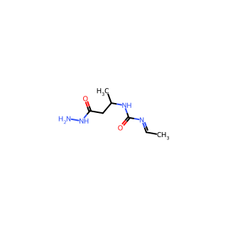 CC=NC(=O)NC(C)CC(=O)NN